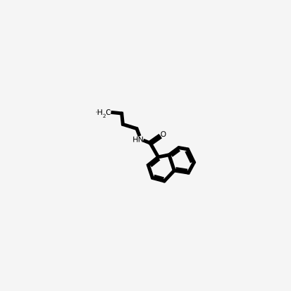 [CH2]CCCNC(=O)c1cccc2ccccc12